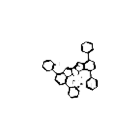 CCC1=Cc2c(-c3ccccc3)ccc(-c3ccccc3)c2[CH]1[Zr]([Cl])([Cl])([CH]1C(CC)=Cc2c(-c3ccccc3)ccc(-c3ccccc3)c21)[SiH](C)C